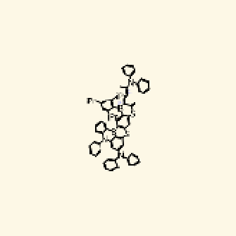 C=C1Sc2cc3c(cc2B(c2c(C(C)C)cc(C(C)C)cc2C(C)C)/C1=C/C=C(\C)N(c1ccccc1)c1ccccc1)B1c2ccccc2N(c2ccccc2)c2cc(N(c4ccccc4)c4ccccc4)cc(c21)S3